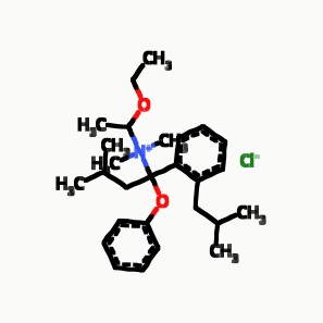 CCOC(C)[N+](C)(C)C(CC(C)C)(Oc1ccccc1)c1ccccc1CC(C)C.[Cl-]